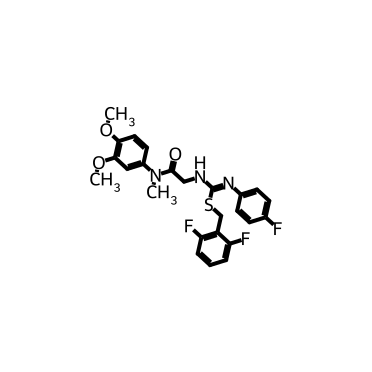 COc1ccc(N(C)C(=O)CNC(=Nc2ccc(F)cc2)SCc2c(F)cccc2F)cc1OC